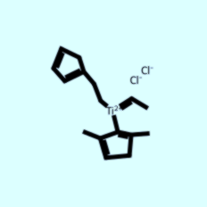 C[CH]=[Ti+2]([CH2]CC1=CC=CC1)[C]1=C(C)CC=C1C.[Cl-].[Cl-]